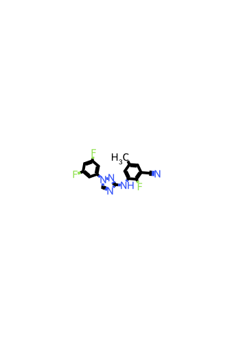 Cc1cc(C#N)c(F)c(Nc2ncn(-c3cc(F)cc(F)c3)n2)c1